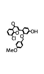 COc1ccc(COc2cc(O)ccc2-c2cc(=O)c3cccc(Cl)c3o2)cc1